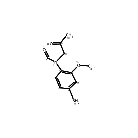 Bc1ccc(N(C=O)CC(C)=O)c(OC)c1